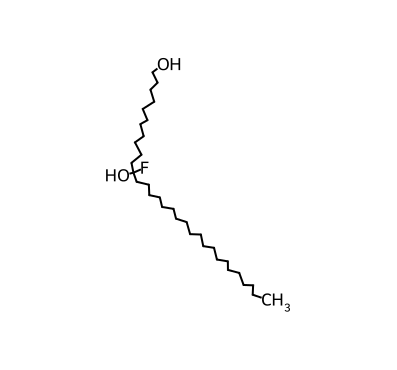 CCCCCCCCCCCCCCCCCCCCC(O)(F)CCCCCCCCCCCO